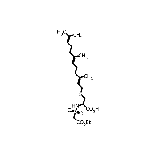 CCOC(=O)CS(=O)(=O)N[C@@H](CSC/C=C(\C)CC/C=C(\C)CCC=C(C)C)C(=O)O